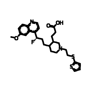 COc1ccc2nccc([C@@H](F)CCC3CCN(CCSc4cccs4)CC3CCC(=O)O)c2c1